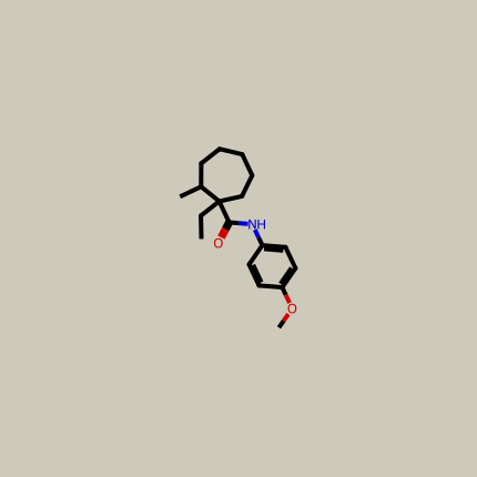 CCC1(C(=O)Nc2ccc(OC)cc2)CCCCCC1C